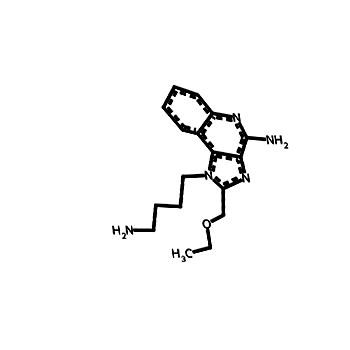 CCOCc1nc2c(N)nc3ccccc3c2n1CCCCN